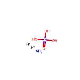 N.O=P(O)(O)O.[H+].[H+]